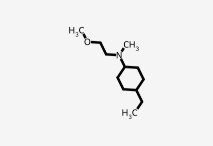 CCC1CCC(N(C)CCOC)CC1